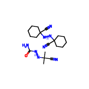 CC(C)(C#N)/N=N/C(N)=O.N#CC1(/N=N/C2(C#N)CCCCC2)CCCCC1